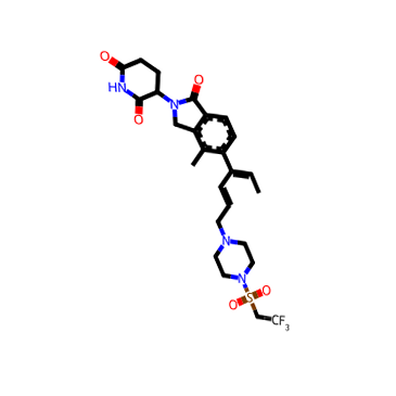 C/C=C(\C=C\CN1CCN(S(=O)(=O)CC(F)(F)F)CC1)c1ccc2c(c1C)CN(C1CCC(=O)NC1=O)C2=O